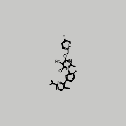 Cc1ccc(-c2nc(C(C)C)ncc2C)cc1-n1c(C)nc(OCc2ccc(F)cc2)c(Br)c1=O